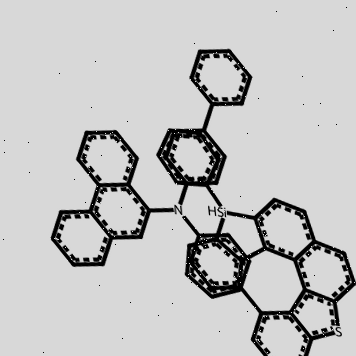 c1ccc(-c2ccc(N(c3ccc(-c4cccc5sc6ccc7ccc8c(c7c6c45)-c4ccccc4[SiH]8c4ccccc4)cc3)c3cc4ccccc4c4ccccc34)cc2)cc1